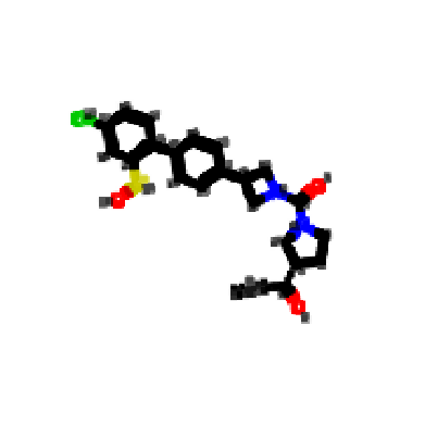 CNC(=O)[C@H]1CCN(C(=O)N2CC(c3ccc(-c4ccc(Cl)cc4[S+]=O)cc3)C2)C1